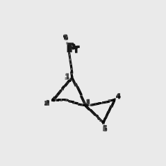 CC(C)C1CC12CC2